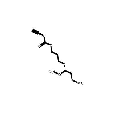 C#COC(=O)OCCCC[C@H](CO[N+](=O)[O-])O[N+](=O)[O-]